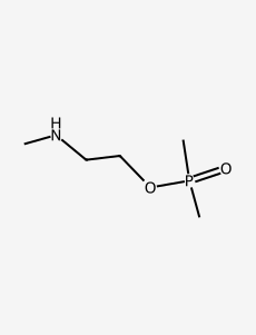 CNCCOP(C)(C)=O